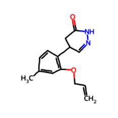 C=CCOc1cc(C)ccc1C1C=NNC(=O)C1